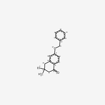 CCC1(C)CC(=O)c2ccc(OCc3ccccc3)nc2C1